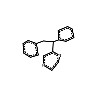 c1ccc(CC(c2ccccc2)c2cnccn2)cc1